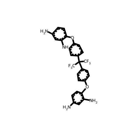 Nc1ccc(Oc2ccc(C(c3ccc(Oc4ccc(N)cc4N)cc3)(C(F)(F)F)C(F)(F)F)cc2)c(N)c1